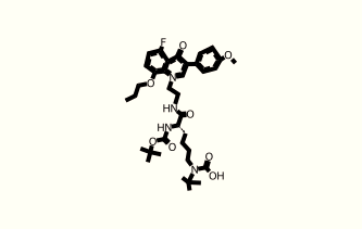 CCCOc1ccc(F)c2c(=O)c(-c3ccc(OC)cc3)cn(CCNC(=O)[C@H](CCCCN(C(=O)O)C(C)(C)C)NC(=O)OC(C)(C)C)c12